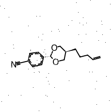 C=CCCC[C@H]1CO[C@H](c2ccc(C#N)cc2)OC1